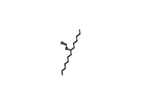 CCCCCCCC(CCCCCC)OC=O